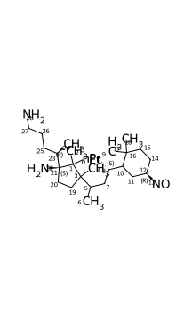 CCCC1(C)C(C)(C(C)C[C@H](CC)C2C[C@H](N=O)CCC2(C)C)CC[C@]1(N)[C@H](C)CCCN